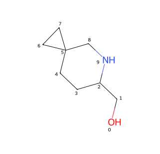 OCC1CCC2(CC2)CN1